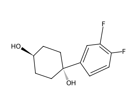 O[C@H]1CC[C@@](O)(c2ccc(F)c(F)c2)CC1